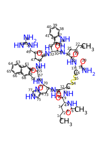 CCCC[C@H](NC(C)=O)C(=O)N[C@H]1CSSC[C@@H](C(N)=O)NC(=O)[C@H](CCCC)NC(=O)[C@H](Cc2c[nH]c3ccccc23)NC(=O)[C@H](CCCNC(=N)N)NC(=O)[C@@H](Cc2ccc3ccccc3c2)NC(=O)[C@H](Cc2c[nH]cn2)NC1=O